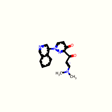 CN(C)/C=C/C(=O)c1nn(-c2cncc3ccccc23)ccc1=O